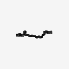 CCCCC/C=C/C=C\CCCCCCCCC(=O)CCCCCCCCCC